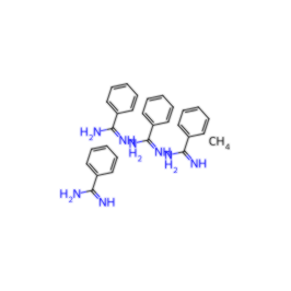 C.N=C(N)c1ccccc1.N=C(N)c1ccccc1.N=C(N)c1ccccc1.N=C(N)c1ccccc1